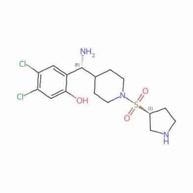 N[C@@H](c1cc(Cl)c(Cl)cc1O)C1CCN(S(=O)(=O)[C@H]2CCNC2)CC1